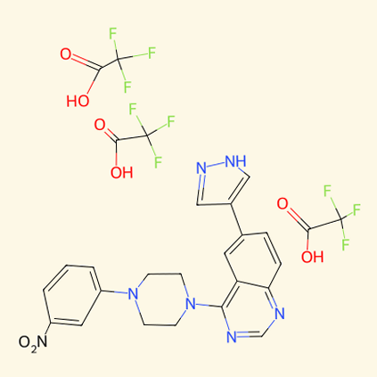 O=C(O)C(F)(F)F.O=C(O)C(F)(F)F.O=C(O)C(F)(F)F.O=[N+]([O-])c1cccc(N2CCN(c3ncnc4ccc(-c5cn[nH]c5)cc34)CC2)c1